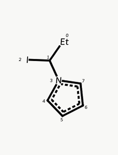 CCC(I)n1cccc1